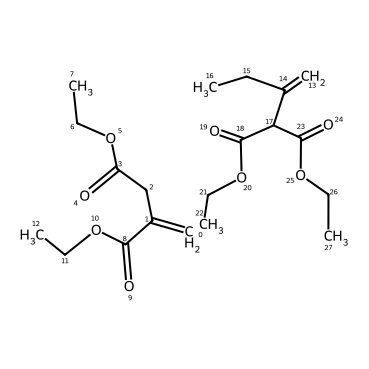 C=C(CC(=O)OCC)C(=O)OCC.C=C(CC)C(C(=O)OCC)C(=O)OCC